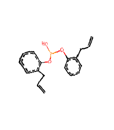 C=CCc1ccccc1OP(O)Oc1ccccc1CC=C